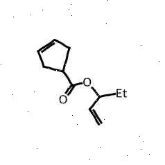 C=CC(CC)OC(=O)C1CC=CC1